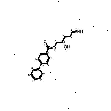 N=CCC[C@H](O)COC(=O)c1ccc(-c2ccccc2)cc1